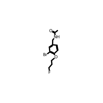 CC(=O)NCc1ccc(OCCCF)c(Br)c1